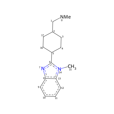 CNCC1CCC(c2nc3ccccc3n2C)CC1